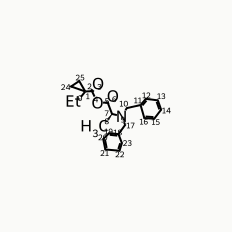 CCC1(C(=O)OC(=O)[C@H](C)N(Cc2ccccc2)Cc2ccccc2)CC1